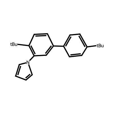 CC(C)(C)c1ccc(-c2ccc(C(C)(C)C)c(-n3cccc3)c2)cc1